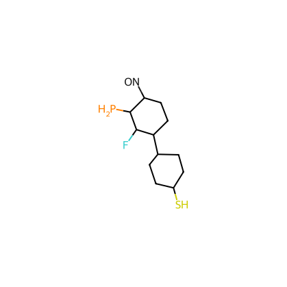 O=NC1CCC(C2CCC(S)CC2)C(F)C1P